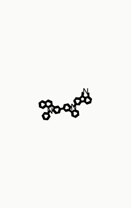 c1ccc(-n2c3ccc(-c4ccc5c(c4)c4ccccc4n5-c4ccc5c(c4)-c4cccc6cncc-5c46)cc3c3ccc4ccccc4c32)cc1